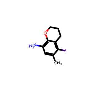 Cc1cc(N)c2c(c1I)CCCO2